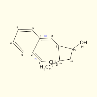 C/C=c1/cccc/c1=C/C1C(C)CC1O